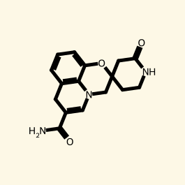 NC(=O)C1=CN2CC3(CCNC(=O)C3)Oc3cccc(c32)C1